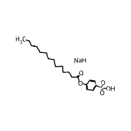 CCCCCCCCCCCCCC(=O)Oc1ccc(S(=O)(=O)O)cc1.[NaH]